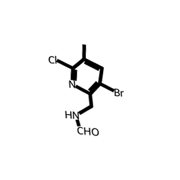 Cc1cc(Br)c(CNC=O)nc1Cl